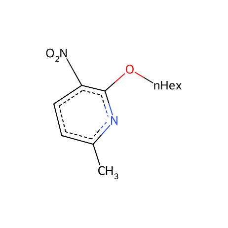 CCCCCCOc1nc(C)ccc1[N+](=O)[O-]